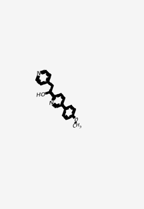 COc1ccc(-c2ccc(C(O)Cc3ccncc3)nc2)cc1